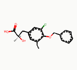 Cc1cc(C[C@@](C)(O)C(=O)O)cc(Cl)c1OCc1ccccc1